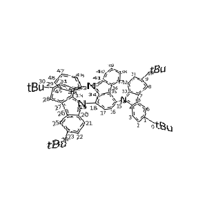 CC(C)(C)c1ccc2c(c1)c1cc(C(C)(C)C)ccc1n2-c1ccc(-n2c3ccc(C(C)(C)C)cc3c3cc(C(C)(C)C)ccc32)c2c1c1ccccc1n2-c1ccccc1